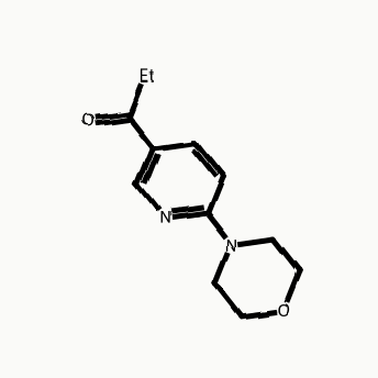 CCC(=O)c1ccc(N2CCOCC2)nc1